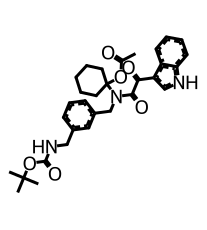 CC(=O)OC1(N(Cc2cccc(CNC(=O)OC(C)(C)C)c2)C(=O)C(=O)c2c[nH]c3ccccc23)CCCCC1